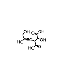 O=C(O)C(O)C(O)C(=O)O.O=C(O)CO